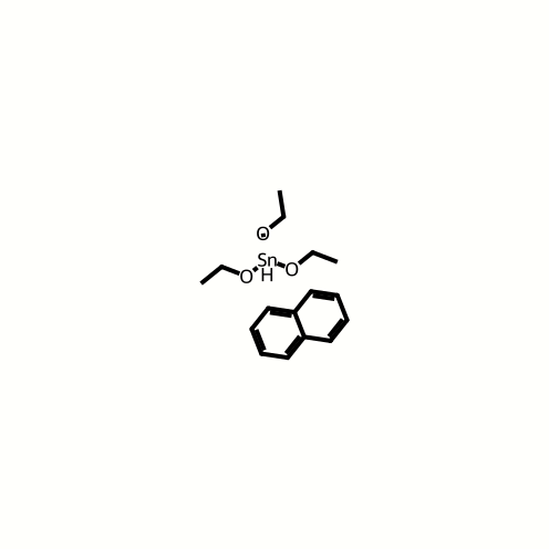 CC[O][SnH]([O]CC)[O]CC.c1ccc2ccccc2c1